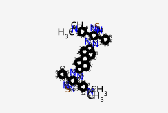 CN(C)c1ccc(-c2c3nsnc3c(-c3ccccc3)c3nc4c(nc23)-c2ccc3c5ccc6c7c(ccc(c8ccc-4c2c83)c75)-c2nc3c(-c4ccc(N(C)C)cc4)c4nsnc4c(-c4ccccc4)c3nc2-6)cc1